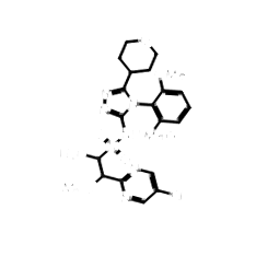 COc1cccc(OC)c1-n1c(NS(=O)(=O)C(C)C(OC)c2ncc(Cl)cn2)nnc1C1CCOCC1